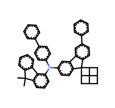 CC1(C)c2ccccc2-c2c(N(c3ccc(-c4ccccc4)cc3)c3ccc4c(c3)-c3cc(-c5ccccc5)ccc3C43C4CC5CC6CC3C564)cccc21